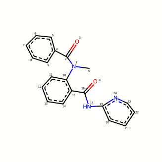 CN(C(=O)c1ccccc1)c1ccccc1C(=O)Nc1ccccn1